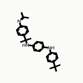 CC(C)=Nc1ccc(C(C)(C)Nc2ccc(Nc3ccc(C(C)(C)C)cc3)cc2)cc1